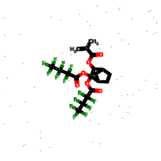 C=C(C)C(=O)OC1C2CCC(C2)C1(OC(=O)C(F)(F)C(F)(F)C(F)(F)F)OC(=O)C(F)(F)C(F)(F)C(F)(F)F